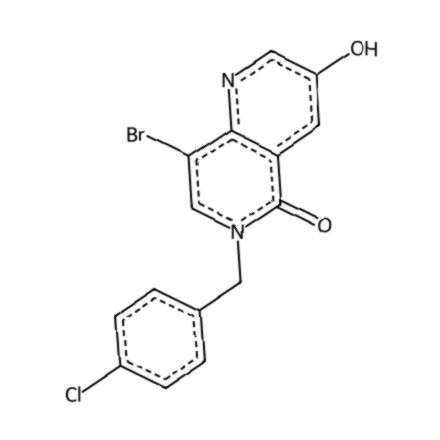 O=c1c2cc(O)cnc2c(Br)cn1Cc1ccc(Cl)cc1